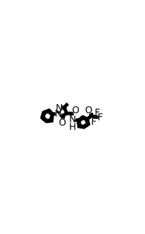 CC1=NN(c2ccccc2)C(=O)C1C(=O)Nc1cccc(C(=O)C(F)(F)F)c1